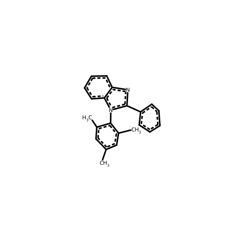 Cc1cc(C)c(-n2c(-c3ccccc3)nc3ccccc32)c(C)c1